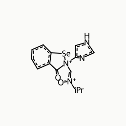 CC(C)[N+]([O-])=C[N+]1(c2c[nH]cn2)[Se]c2ccccc2C1=O